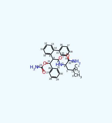 CC(C)CC(NC(=O)C(c1ccccc1-c1ccccc1)C(OC(N)=O)c1ccccc1)C(N)=O